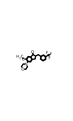 COc1cc2c(cc1N1CCOCC1)CC(Cc1cccc(C(F)(F)F)c1)C2=O